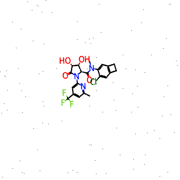 Cc1cc(C(F)(F)F)cc(N2C(=O)[C@@H](O)[C@@H](O)[C@H]2C(=O)N(C)c2cc3c(cc2Cl)CC3)n1